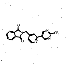 O=C1c2ccccc2C(=O)N1Cc1ccnc(-c2cnc(C(F)(F)F)nc2)c1